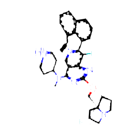 C#Cc1cccc2cccc(-c3ncc4c(N(C)C5CCNCC5)nc(OC[C@@]56CCCN5C[C@H](F)C6)nc4c3F)c12